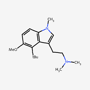 COc1ccc2c(c(CCN(C)C)cn2C)c1C(C)(C)C